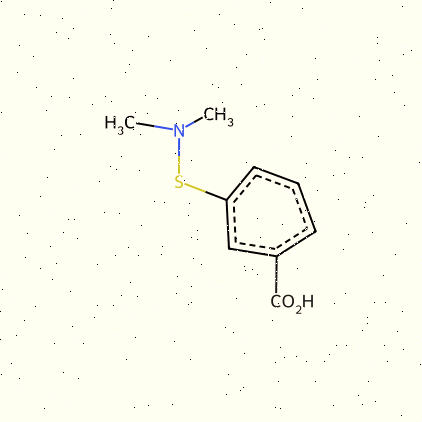 CN(C)Sc1cccc(C(=O)O)c1